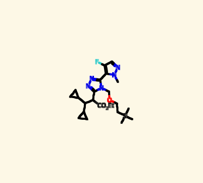 CCOC(=O)C(c1nnc(-c2c(F)cnn2C)n1COCC[Si](C)(C)C)C(C1CC1)C1CC1